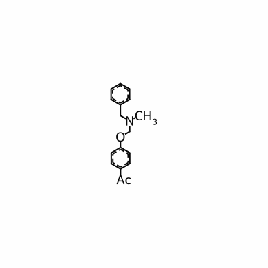 CC(=O)c1ccc(OCN(C)Cc2ccccc2)cc1